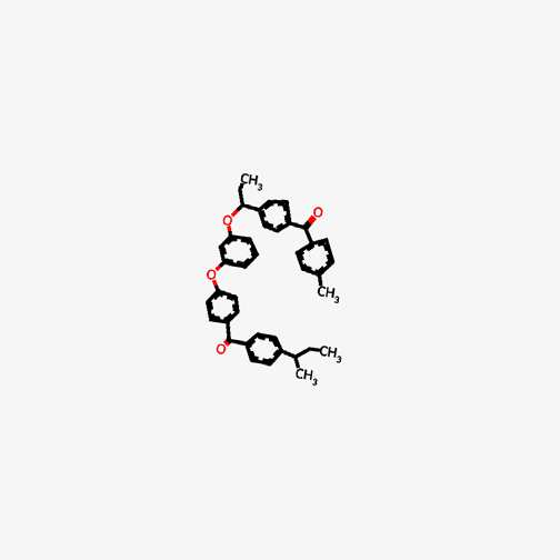 CCC(C)c1ccc(C(=O)c2ccc(Oc3cccc(OC(CC)c4ccc(C(=O)c5ccc(C)cc5)cc4)c3)cc2)cc1